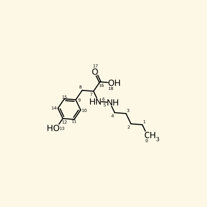 CCCCCNNC(Cc1ccc(O)cc1)C(=O)O